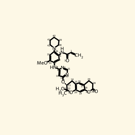 C=CC(=O)Nc1cc(Nc2cc(O[C@H]3Cc4cc5c(cc4OC3(C)C)OC(=O)CC5)ncn2)c(OC)cc1N1CCCCC1